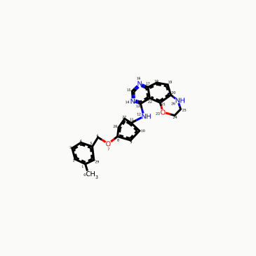 Cc1cccc(COc2ccc(Nc3ncnc4ccc5c(c34)OCCN5)cc2)c1